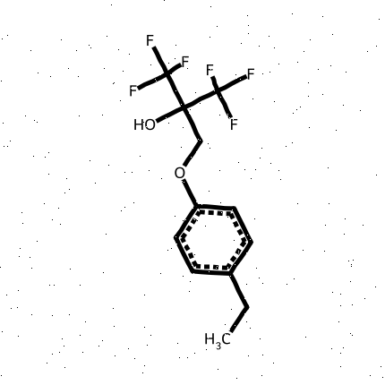 CCc1ccc(OCC(O)(C(F)(F)F)C(F)(F)F)cc1